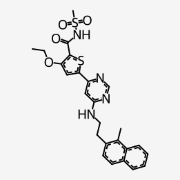 CCOc1cc(-c2cc(NCCc3ccc4ccccc4c3C)ncn2)sc1C(=O)NS(C)(=O)=O